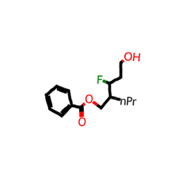 CCCC(COC(=O)c1ccccc1)C(F)CCO